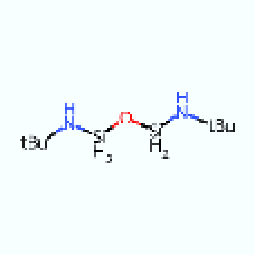 CC(C)(C)N[SiH2]O[SiH2]NC(C)(C)C